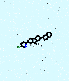 CC1(C)c2cc(-c3ccc4ccccc4c3)ccc2-c2ccc(-c3ccc(Br)cn3)cc21